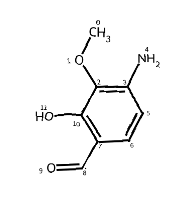 COc1c(N)ccc([C]=O)c1O